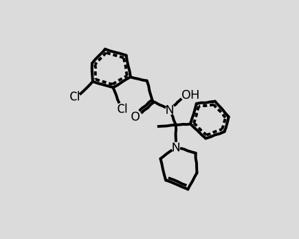 CC(c1ccccc1)(N1CC=CCC1)N(O)C(=O)Cc1cccc(Cl)c1Cl